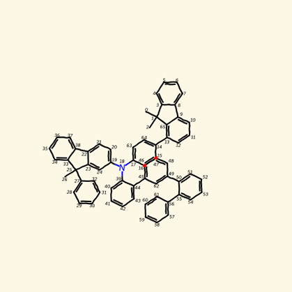 CC1(C)c2ccccc2-c2cccc(-c3ccc(N(c4ccc5c(c4)C(C)(c4ccccc4)c4ccccc4-5)c4ccccc4-c4cccc(-c5ccccc5-c5ccccc5)c4)cc3)c21